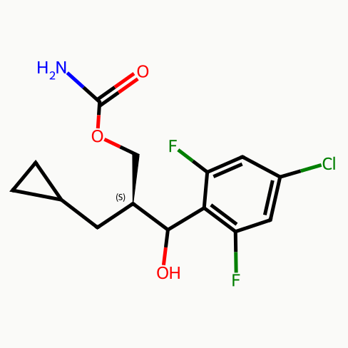 NC(=O)OC[C@H](CC1CC1)C(O)c1c(F)cc(Cl)cc1F